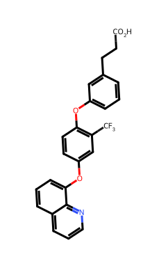 O=C(O)CCc1cccc(Oc2ccc(Oc3cccc4cccnc34)cc2C(F)(F)F)c1